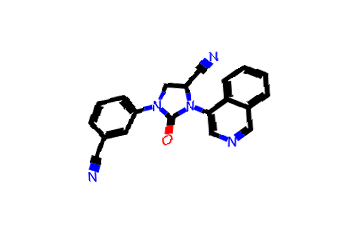 N#Cc1cccc(N2CC(C#N)N(c3cncc4ccccc34)C2=O)c1